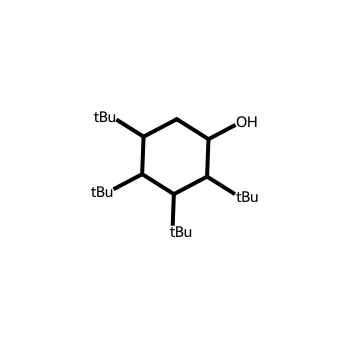 CC(C)(C)C1CC(O)C(C(C)(C)C)C(C(C)(C)C)C1C(C)(C)C